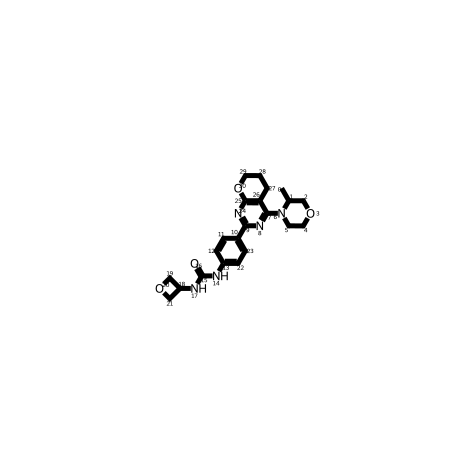 CC1COCCN1c1nc(-c2ccc(NC(=O)NC3COC3)cc2)nc2c1CCCO2